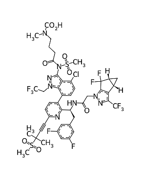 CN(CCCC(=O)N(c1nn(CC(F)(F)F)c2c(-c3ccc(C#CC(C)(C)S(C)(=O)=O)nc3[C@H](Cc3cc(F)cc(F)c3)NC(=O)Cn3nc(C(F)(F)F)c4c3C(F)(F)[C@@H]3C[C@H]43)ccc(Cl)c12)S(C)(=O)=O)C(=O)O